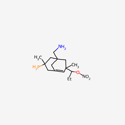 CCC(O[N+](=O)[O-])C1(C)C=C2CC(C)(P)CC(CN)(C2)C1